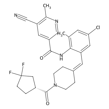 Cc1cc(Cl)cc(C=C2CCN(C(=O)[C@@H]3CCC(F)(F)C3)CC2)c1NC(=O)c1cnc(C)c(C#N)c1